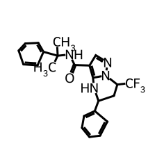 CC(C)(NC(=O)c1cnn2c1NC(c1ccccc1)CC2C(F)(F)F)c1ccccc1